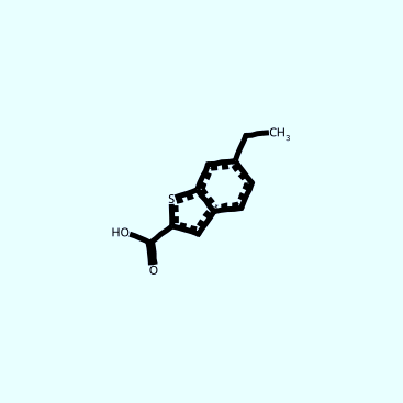 CCc1ccc2cc(C(=O)O)sc2c1